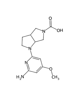 COc1cc(N)nc(N2CCC3CN(C(=O)O)CC32)c1